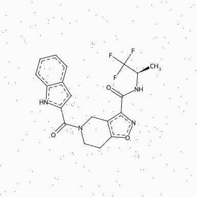 C[C@@H](NC(=O)c1noc2c1CN(C(=O)c1cc3ccccc3[nH]1)CC2)C(F)(F)F